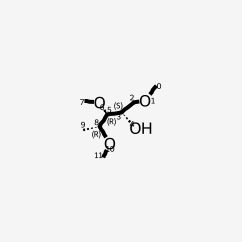 COC[C@H](O)[C@@H](OC)[C@@H](C)OC